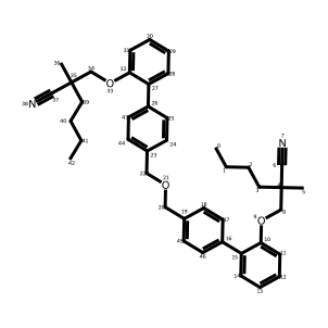 CCCCC(C)(C#N)COc1ccccc1-c1ccc(COCc2ccc(-c3ccccc3OCC(C)(C#N)CCCC)cc2)cc1